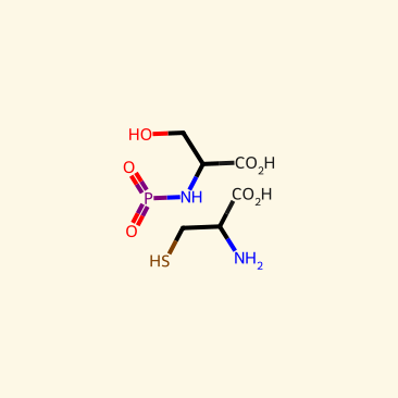 NC(CS)C(=O)O.O=C(O)C(CO)NP(=O)=O